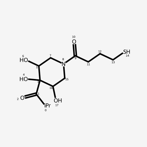 CC(C)C(=O)C1(O)C(O)CN(C(=O)CCCS)CC1O